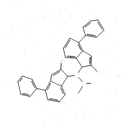 CC(C)C1=Cc2c(-c3ccccc3)cccc2C1B(C1C(C(C)C)=Cc2c(-c3ccccc3)cccc21)N(C(C)C)C(C)C